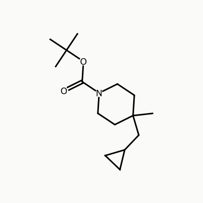 CC1(CC2CC2)CCN(C(=O)OC(C)(C)C)CC1